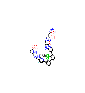 COc1nc(-c2cccc(-c3cccc(-c4ccn5c(=O)c(CNC[C@@H](O)CC(N)=O)cnc5c4)c3Cl)c2Cl)cc(F)c1CNC[C@@H]1CCC(O)N1